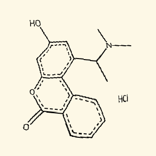 CC(c1cc(O)cc2oc(=O)c3ccccc3c12)N(C)C.Cl